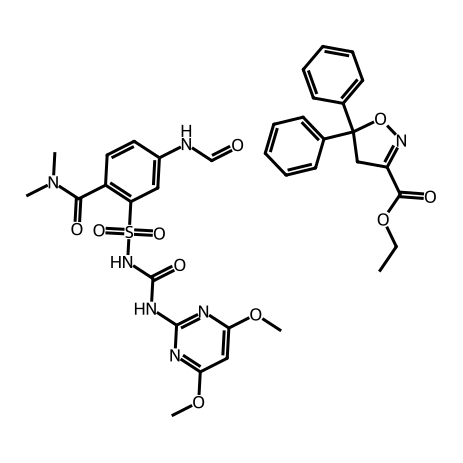 CCOC(=O)C1=NOC(c2ccccc2)(c2ccccc2)C1.COc1cc(OC)nc(NC(=O)NS(=O)(=O)c2cc(NC=O)ccc2C(=O)N(C)C)n1